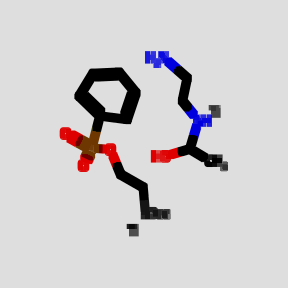 CC(O)NCCN.CCCCCCCCCCCCOS(=O)(=O)c1ccccc1.[Ti].[Ti]